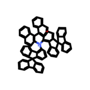 c1ccc2c(c1)-c1ccccc1C21c2ccccc2-c2c(N(c3cccc4c3-c3ccccc3C43c4ccccc4-c4ccccc43)c3ccc4ccccc4c3-c3cccc4ccccc34)cccc21